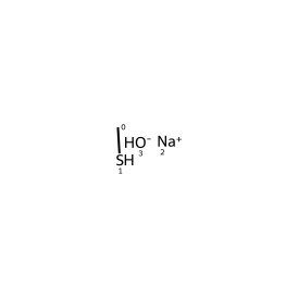 CS.[Na+].[OH-]